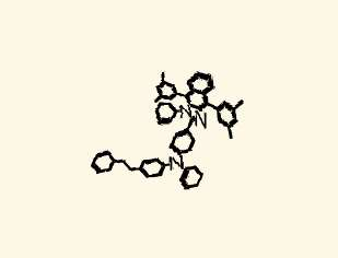 Cc1cc(C)cc(-c2c3ccccc3c(-c3cc(C)cc(C)c3)c3c2nc(C2=CC=C(N(C4=CCCC=C4)C4C=CC(CCC5C=CC=CC5)=CC4)CC2)n3C2=CCCC=C2)c1